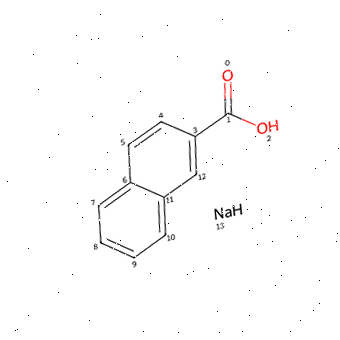 O=C(O)c1ccc2ccccc2c1.[NaH]